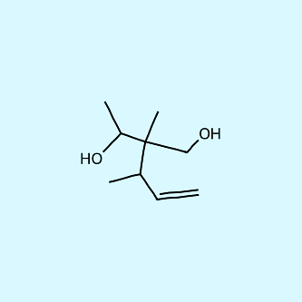 C=CC(C)C(C)(CO)C(C)O